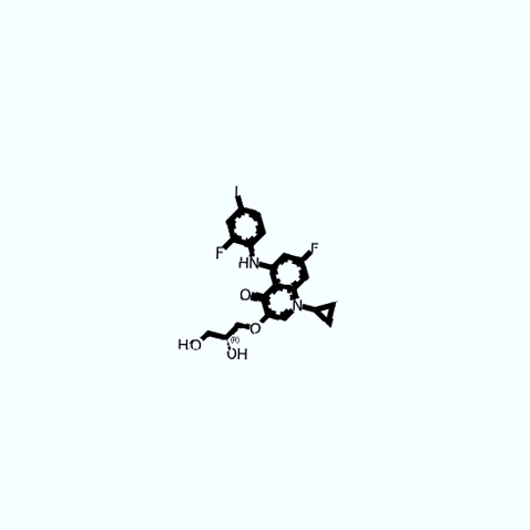 O=c1c(OC[C@H](O)CO)cn(C2CC2)c2cc(F)cc(Nc3ccc(I)cc3F)c12